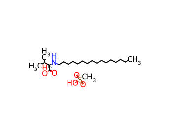 CCCCCCCCCCCCCCCCN[C@H](C(=O)O)C(C)C.CS(=O)(=O)O